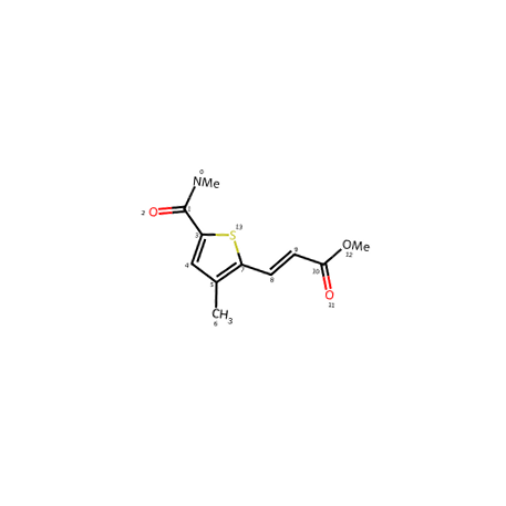 CNC(=O)c1cc(C)c(C=CC(=O)OC)s1